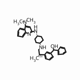 C[C@H](CN[C@H]1CC[C@@H](Nc2cc(N(C)C)c3ccccc3n2)CC1)c1cccc(C(O)c2ccccc2)c1